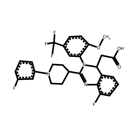 COc1ccc(C(F)(F)F)cc1N1C(C2CCN(c3cccc(F)c3)CC2)=Nc2c(F)cccc2C1CC(=O)O